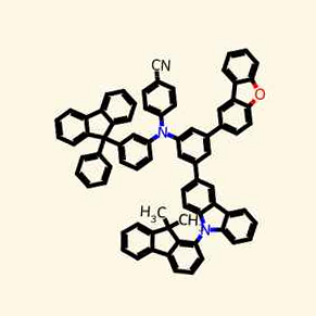 CC1(C)c2ccccc2-c2cccc(-n3c4ccccc4c4cc(-c5cc(-c6ccc7oc8ccccc8c7c6)cc(N(c6ccc(C#N)cc6)c6cccc(C7(c8ccccc8)c8ccccc8-c8ccccc87)c6)c5)ccc43)c21